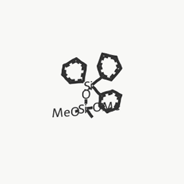 CO[Si](C)(OC)O[Si](c1ccccc1)(c1ccccc1)c1ccccc1